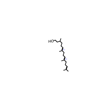 CC(C)=CCC/C(C)=C/CC/C(C)=C/CCC(C)CCO